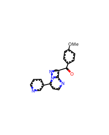 COc1ccc(C(=O)c2cnn3c(-c4cccnc4)ccnc23)cc1